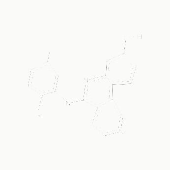 O=C(O)c1ccc2c(c1)nc(Nc1cc(F)ccc1Br)c1ccncc12